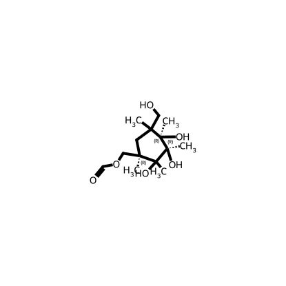 CC1(O)[C@@](C)(COC=O)CC(C)(CO)[C@@](C)(O)[C@@]1(C)O